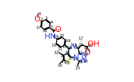 COc1ccc(C(=O)Nc2ccc(C3=NC([C@H](C)C(=O)O)c4nnc(C)n4-c4sc(C)c(C)c43)cc2)cc1